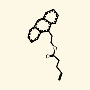 C=CCCC(=O)OCCc1c2ccccc2cc2ccccc12